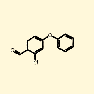 O=CC1CC=C(Oc2ccccc2)C=C1Cl